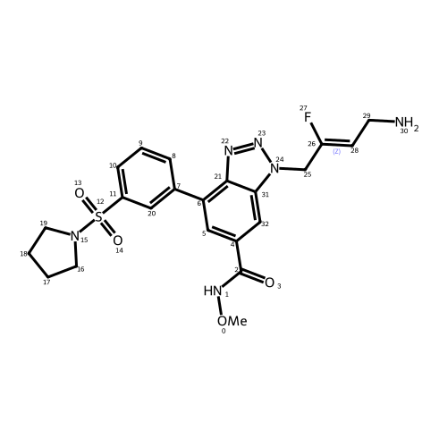 CONC(=O)c1cc(-c2cccc(S(=O)(=O)N3CCCC3)c2)c2nnn(C/C(F)=C/CN)c2c1